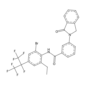 CCc1cc(C(F)(C(F)(F)F)C(F)(F)F)cc(Br)c1NC(=O)c1cccc(N2Cc3ccccc3C2=O)c1